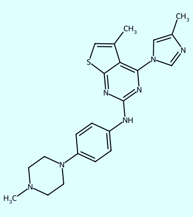 Cc1cn(-c2nc(Nc3ccc(N4CCN(C)CC4)cc3)nc3scc(C)c23)cn1